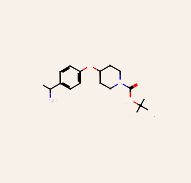 CC(N)c1ccc(OC2CCN(C(=O)OC(C)(C)C)CC2)cc1